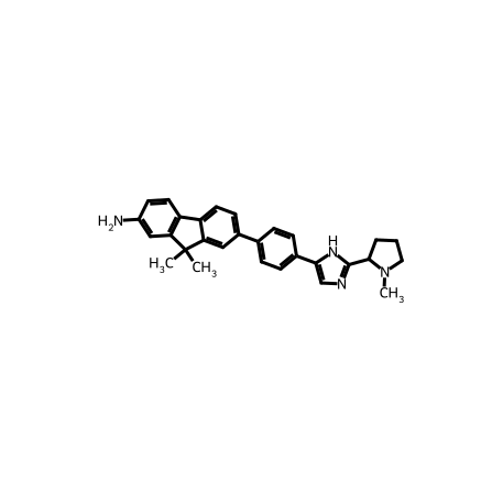 CN1CCCC1c1ncc(-c2ccc(-c3ccc4c(c3)C(C)(C)c3cc(N)ccc3-4)cc2)[nH]1